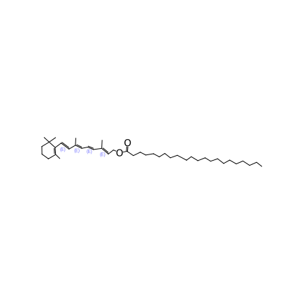 CCCCCCCCCCCCCCCCCCCCCC(=O)OC/C=C(C)/C=C/C=C(C)/C=C/C1=C(C)CCCC1(C)C